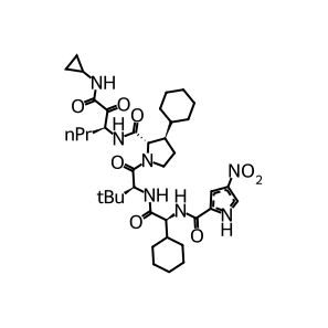 CCC[C@H](NC(=O)[C@@H]1[C@@H](C2CCCCC2)CCN1C(=O)[C@@H](NC(=O)[C@@H](NC(=O)c1cc([N+](=O)[O-])c[nH]1)C1CCCCC1)C(C)(C)C)C(=O)C(=O)NC1CC1